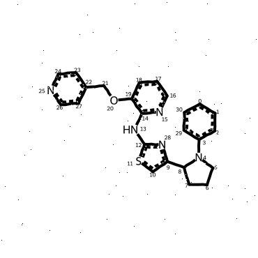 c1ccc(N2CCCC2c2csc(Nc3ncccc3OCc3ccncc3)n2)cc1